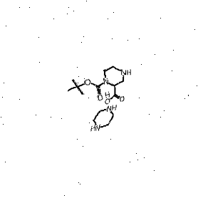 C1CNCCN1.CC(C)(C)OC(=O)N1CCNCC1C(=O)O